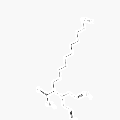 C=CCN(CC=C)C(CCCCCCCCCCCCCCCCCCCC)C(N)=O